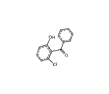 O=C(c1ccccc1)c1c(O)cccc1Cl